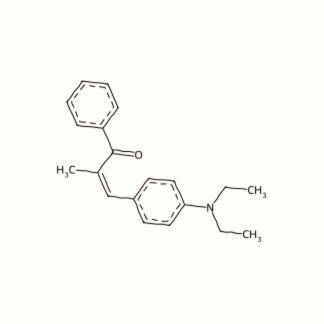 CCN(CC)c1ccc(C=C(C)C(=O)c2ccccc2)cc1